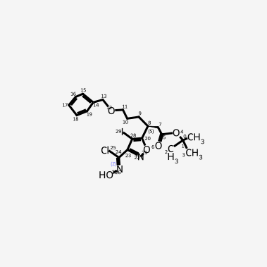 CC(C)(C)OC(=O)C[C@H](CCCOCc1ccccc1)c1onc(/C(Cl)=N/O)c1I